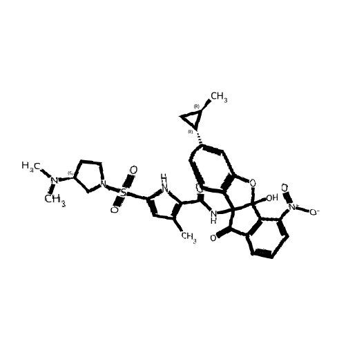 Cc1cc(S(=O)(=O)N2CC[C@H](N(C)C)C2)[nH]c1C(=O)NC12C(=O)c3cccc([N+](=O)[O-])c3C1(O)Oc1cc([C@@H]3C[C@H]3C)ccc12